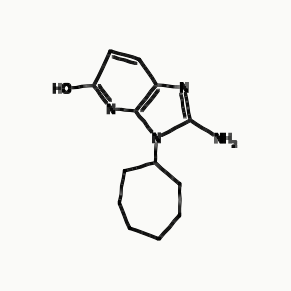 Nc1nc2ccc(O)nc2n1C1CCCCCC1